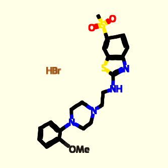 Br.COc1ccccc1N1CCN(CCNc2nc3ccc(S(C)(=O)=O)cc3s2)CC1